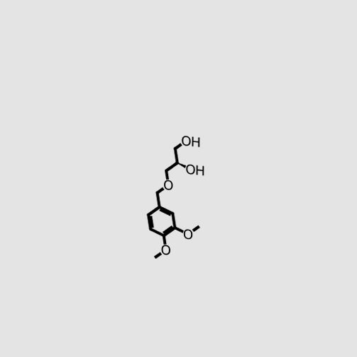 COc1ccc(COC[C@H](O)CO)cc1OC